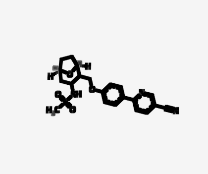 CS(=O)(=O)NC1C[C@H]2CC[C@H](O2)C1COc1ccc(-c2ccc(C#N)cn2)cc1